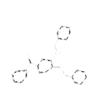 O=C(c1[c]cccc1)c1ccc(OCc2ccccc2)c(OCc2ccccc2)c1